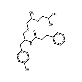 C[C@H](COC[C@H](Cc1ccc(O)cc1)NC(=O)CCc1ccccc1)OC[C@@H](C)O